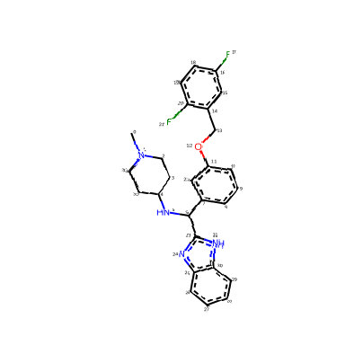 CN1CCC(NC(c2cccc(OCc3cc(F)ccc3F)c2)c2nc3ccccc3[nH]2)CC1